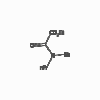 CCCN(CC)C(=O)C(=O)OCC